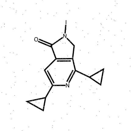 O=C1c2cc(C3CC3)nc(C3CC3)c2CN1I